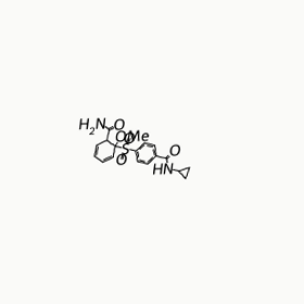 COC1(S(=O)(=O)c2ccc(C(=O)NC3CC3)cc2)C=CC=CC1C(N)=O